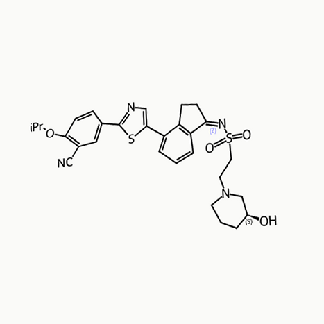 CC(C)Oc1ccc(-c2ncc(-c3cccc4c3CC/C4=N/S(=O)(=O)CCN3CCC[C@H](O)C3)s2)cc1C#N